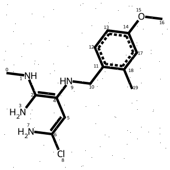 CN/C(N)=C(/C=C(\N)Cl)NCc1ccc(OC)cc1C